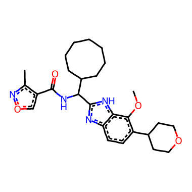 COc1c(C2CCOCC2)ccc2nc(C(NC(=O)c3conc3C)C3CCCCCCC3)[nH]c12